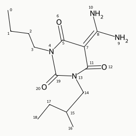 CCCCN1C(=O)C(=C(N)N)C(=O)N(CC(C)CC)C1=O